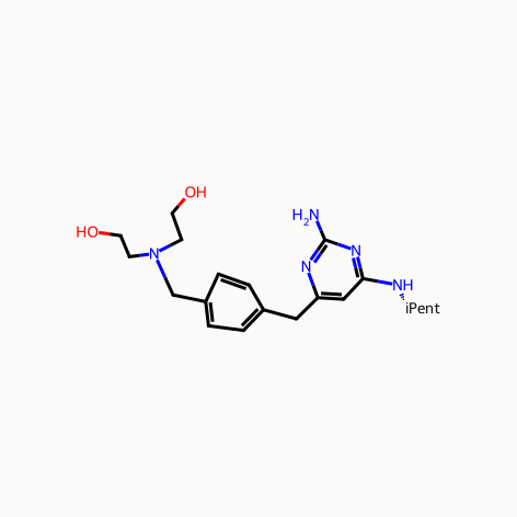 CCC[C@@H](C)Nc1cc(Cc2ccc(CN(CCO)CCO)cc2)nc(N)n1